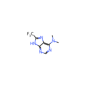 CN(C)c1ncnc2[nH]c(C(F)(F)F)nc12